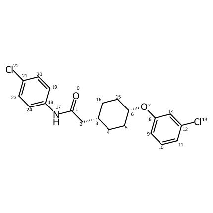 O=C(C[C@H]1CC[C@@H](Oc2cccc(Cl)c2)CC1)Nc1ccc(Cl)cc1